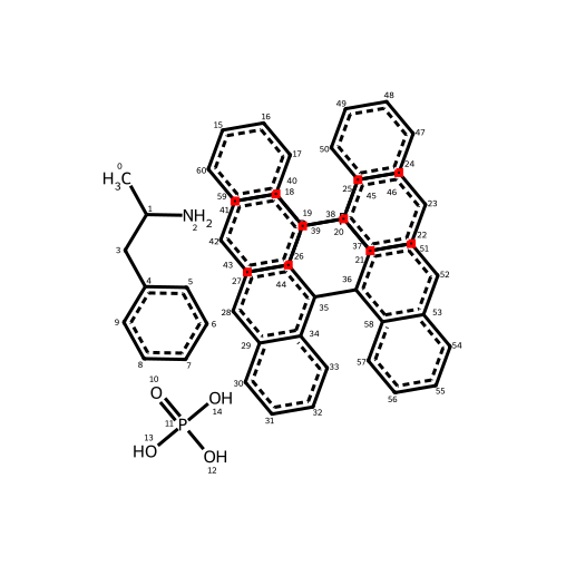 CC(N)Cc1ccccc1.O=P(O)(O)O.c1ccc(P(c2ccccc2)c2ccc3ccccc3c2-c2c(P(c3ccccc3)c3ccccc3)ccc3ccccc23)cc1